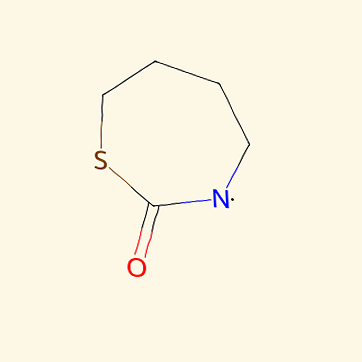 O=C1[N]CCCCS1